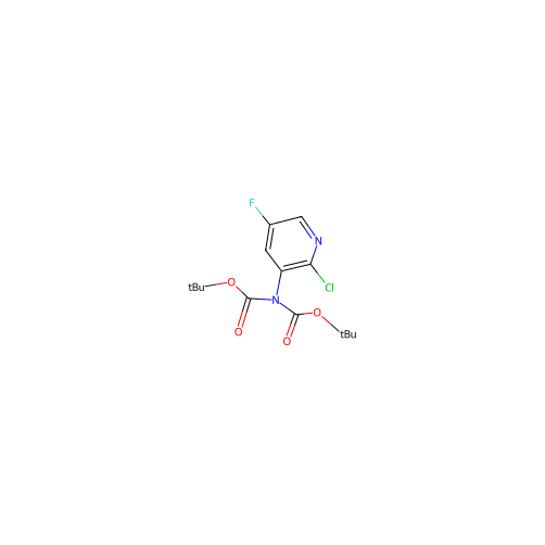 CC(C)(C)OC(=O)N(C(=O)OC(C)(C)C)c1cc(F)cnc1Cl